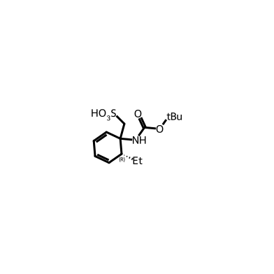 CC[C@@H]1C=CC=CC1(CS(=O)(=O)O)NC(=O)OC(C)(C)C